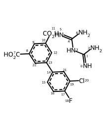 N=C(N)NC(=N)N.O=C(O)c1cc(C(=O)O)cc(-c2ccc(F)c(Cl)c2)c1